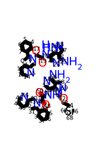 CC(c1ccccc1)N(Cc1ccccn1)C(=O)C(=O)Nc1cnc(N)c2cn[nH]c12.CC(c1ccccc1)N(Cc1ccccn1)C(=O)C(=O)Nc1cnc(N)c2cnn(COCC[Si](C)(C)C)c12